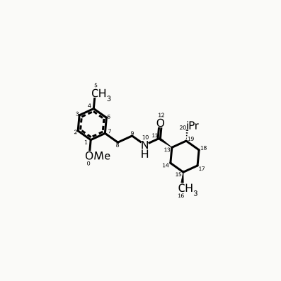 COc1ccc(C)cc1CCNC(=O)[C@@H]1C[C@H](C)CC[C@H]1C(C)C